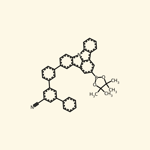 CC1(C)OB(c2cc3c4ccccc4n4c5ccc(-c6cccc(-c7cc(C#N)cc(-c8ccccc8)c7)c6)cc5c(c2)c34)OC1(C)C